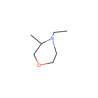 CCN1CCOCC1C